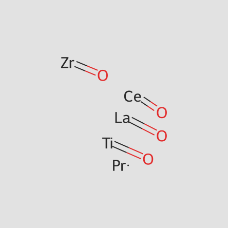 [O]=[Ce].[O]=[La].[O]=[Ti].[O]=[Zr].[Pr]